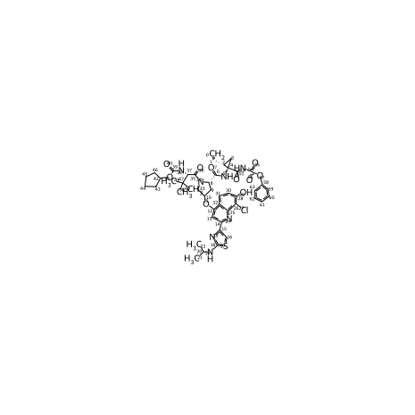 C=C[C@@H]1C[C@]1(NC(=O)[C@@H]1CC(Oc2cc(-c3csc(NC(C)C)n3)nc3c(Cl)c(O)ccc23)CN1C(=O)[C@@H](NC(=O)OC1CCCC1)C(C)(C)C)C(=O)NS(=O)(=O)Oc1ccccc1